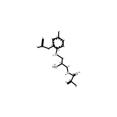 C=C(C)Cc1cc(C)ccc1OCC(O)COC(=O)C(=C)C